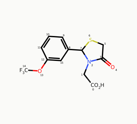 O=C(O)CN1C(=O)CSC1c1cccc(OC(F)(F)F)c1